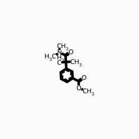 COC(=O)c1cccc(C(C)(C)C(=O)N(C)C)c1